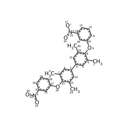 Cc1cc(-c2cc(C)c(Oc3cccc([N+](=O)[O-])c3)c(C)c2)cc(C)c1Oc1cccc([N+](=O)[O-])c1